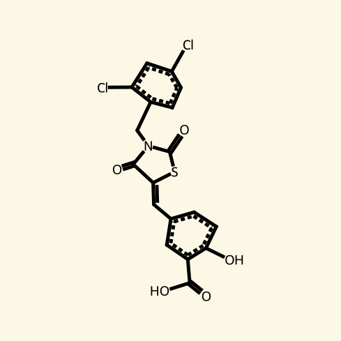 O=C(O)c1cc(/C=C2\SC(=O)N(Cc3ccc(Cl)cc3Cl)C2=O)ccc1O